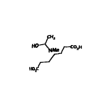 CNC(C)O.O=C(O)CCCCCC(=O)O